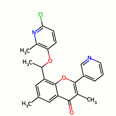 Cc1cc(C(C)Oc2ccc(Cl)nc2C)c2oc(-c3cccnc3)c(C)c(=O)c2c1